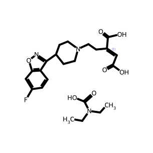 CCN(CC)C(=O)O.O=C(O)/C=C(\CCN1CCC(c2noc3cc(F)ccc23)CC1)C(=O)O